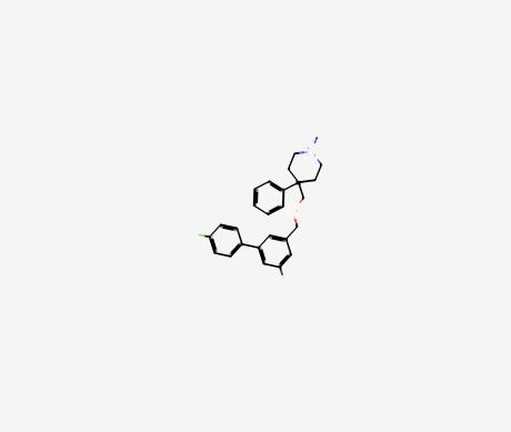 CN1CCC(COCc2cc(-c3ccc(F)cc3)cc(C(F)(F)F)c2)(c2ccccc2)CC1